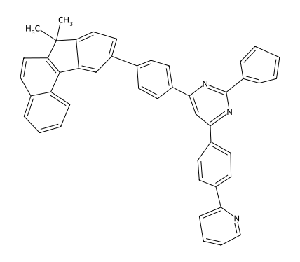 CC1(C)c2ccc(-c3ccc(-c4cc(-c5ccc(-c6ccccn6)cc5)nc(-c5ccccc5)n4)cc3)cc2-c2c1ccc1ccccc21